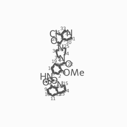 COc1cc(NS(=O)(=O)c2cccc3cccnc23)ccc1C(=O)N1CCN(C(=O)c2ccncc2Cl)CC1